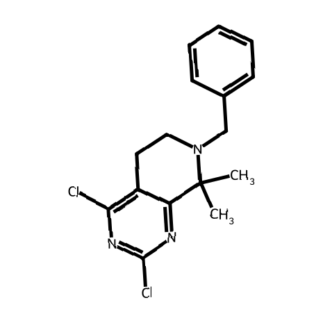 CC1(C)c2nc(Cl)nc(Cl)c2CCN1Cc1ccccc1